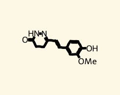 COc1cc(C=CC2=NNC(=O)CC2)ccc1O